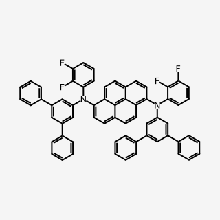 Fc1cccc(N(c2cc(-c3ccccc3)cc(-c3ccccc3)c2)c2ccc3ccc4c(N(c5cc(-c6ccccc6)cc(-c6ccccc6)c5)c5cccc(F)c5F)ccc5ccc2c3c54)c1F